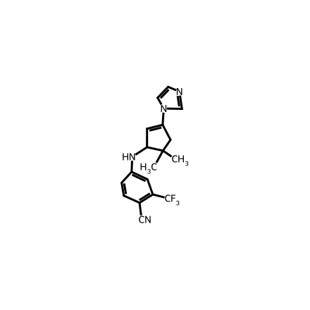 CC1(C)CC(n2ccnc2)=CC1Nc1ccc(C#N)c(C(F)(F)F)c1